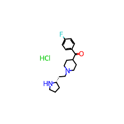 Cl.O=C(c1ccc(F)cc1)C1CCN(CC[C@@H]2CCCN2)CC1